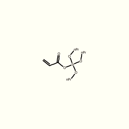 C=CC(=O)O[Si](OCCC)(OCCC)OCCC